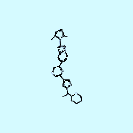 Cc1ccc(C)n1-c1nc2cc(-c3cncc(-c4cnn(C(C)C5CCCCO5)c4)n3)ccn2n1